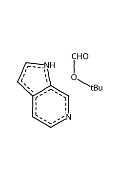 CC(C)(C)OC=O.c1cc2cc[nH]c2cn1